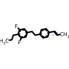 C/C=C/c1ccc(CCc2cc(F)c(CCC)c(F)c2)cc1